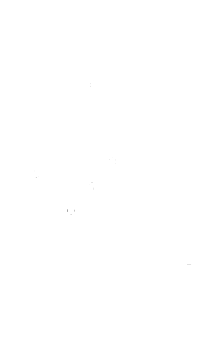 O=Cc1ccsc1S(=O)(=O)c1ccc(F)cc1